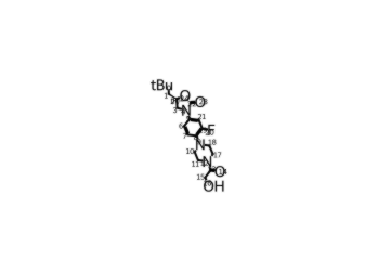 CC(C)(C)C[C@@H]1CN(c2ccc(N3CCN(C(=O)CO)CC3)c(F)c2)C(=O)O1